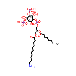 CCCCCCCCCCCCCCCC(=O)O[C@H](COC(=O)CCCCCCCCCCN)COP(=O)(O)OC1C(O)[C@H](OP(=O)(O)O)C(O)[C@H](OP(=O)(O)O)[C@@H]1O